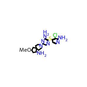 CO[C@H]1C[C@@H](N)C2(CCN(c3cnc(Sc4ccnc(N)c4Cl)c(N)n3)CC2)C1